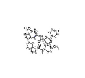 C=Nc1[nH]cc(-c2ccn3ncc(C(=O)NC4CCN(C)CC4)c3c2)c1/C=C(\C)NC(=O)c1ccnc(N2CCNCC2)c1